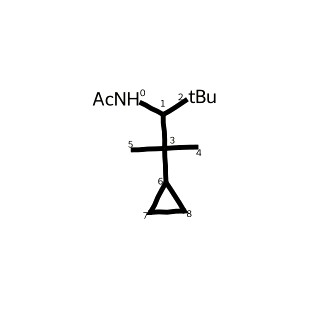 CC(=O)NC(C(C)(C)C)C(C)(C)C1CC1